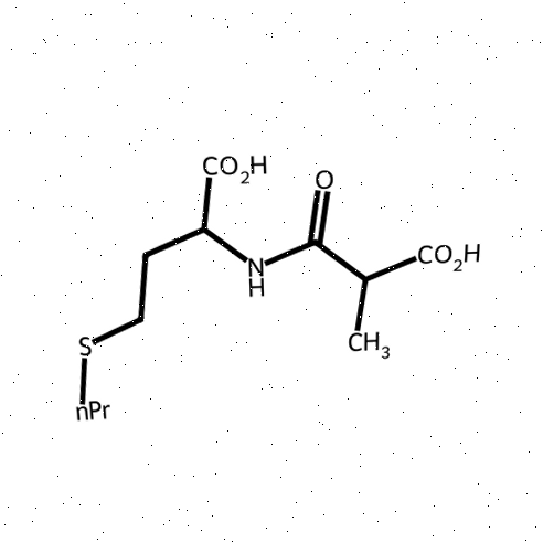 CCCSCCC(NC(=O)C(C)C(=O)O)C(=O)O